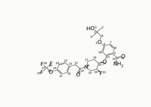 CC(C)(O)COc1ccc(C(N)=O)c(O[C@@H]2CCN(C(=O)Cc3ccc(OC(F)(F)F)cc3)C[C@@H]2F)c1